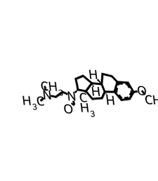 COc1ccc2c(c1)CC[C@@H]1[C@@H]2CC[C@]2(C)[C@@H](N(C=O)CCN(C)C)CC[C@@H]12